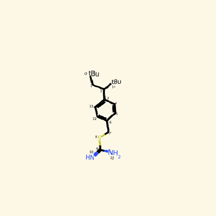 CC(C)(C)CC(c1ccc(CSC(=N)N)cc1)C(C)(C)C